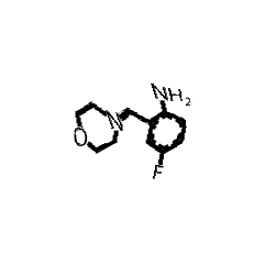 Nc1ccc(F)cc1CN1CCOCC1